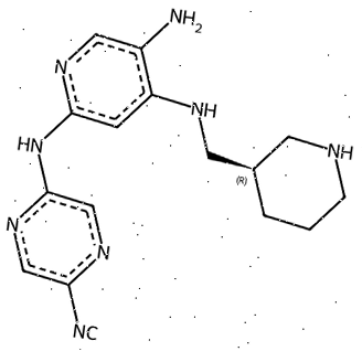 [C-]#[N+]c1cnc(Nc2cc(NC[C@@H]3CCCNC3)c(N)cn2)cn1